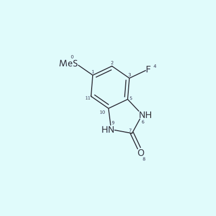 CSc1cc(F)c2[nH]c(=O)[nH]c2c1